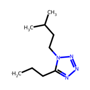 [CH2]CCc1nnnn1CCC(C)C